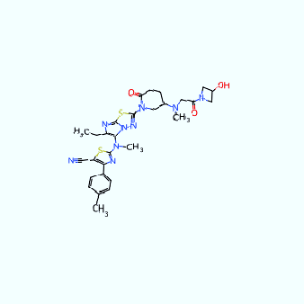 CCc1nc2sc(N3CC(N(C)CC(=O)N4CC(O)C4)CCC3=O)nn2c1N(C)c1nc(-c2ccc(C)cc2)c(C#N)s1